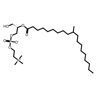 CCCCCCCCCC(C)CCCCCCCCC(=O)O[C@@H](CO)COP(=O)([O-])OCC[N+](C)(C)C